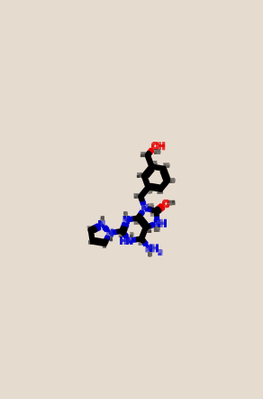 NC1NC(n2cccn2)=Nc2c1[nH]c(=O)n2Cc1cccc(CO)c1